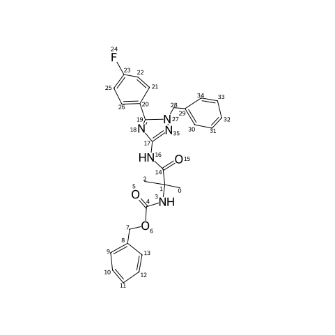 CC(C)(NC(=O)OCc1ccccc1)C(=O)Nc1nc(-c2ccc(F)cc2)n(Cc2ccccc2)n1